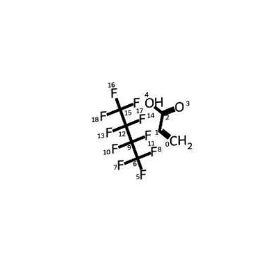 C=CC(=O)O.FC(F)(F)C(F)(F)C(F)(F)C(F)(F)F